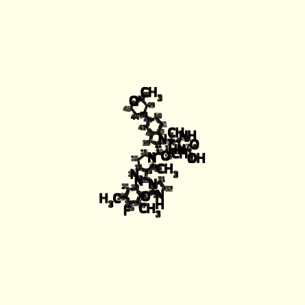 CC[C@](C)(C(=N)NC(=O)O)n1c(C(=O)N2CCc3nn(-c4cc(C)c(F)c(C)c4)c(-n4cc[nH]c4=O)c3[C@@H]2C)cc2cc([C@H]3CCO[C@@H](C)C3)ccc21